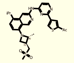 CC(=O)c1cc(-c2nccc(Nc3cc4c(C(C)C)ccc(N5C[C@H](CS(C)(=O)=O)[C@H]5C)c4cn3)n2)cs1